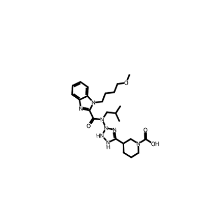 COCCCCn1c(C(=O)N(CC(C)C)N2N=C(C3CCCN(C(=O)O)C3)NN2)nc2ccccc21